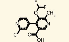 Cc1ncc(C(=O)O)c(-c2ccnc(Cl)c2)c1OC(F)F